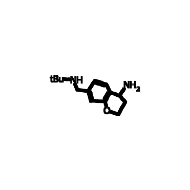 CC(C)(C)NCc1ccc2c(c1)OCCC2N